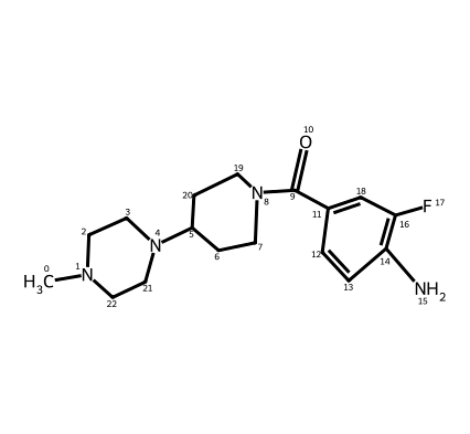 CN1CCN(C2CCN(C(=O)c3ccc(N)c(F)c3)CC2)CC1